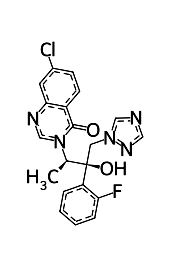 C[C@@H](n1cnc2cc(Cl)ccc2c1=O)[C@](O)(Cn1cncn1)c1ccccc1F